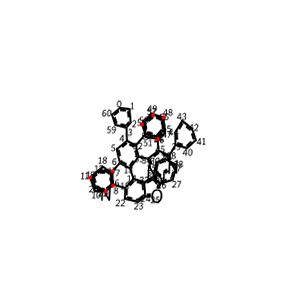 c1ccc(-c2cc(-c3ccccc3)c(-c3c(-c4ccccn4)ccc4oc5ccccc5c34)c(-c3nnnc(-c4ccccc4)c3-c3ccccc3)c2-c2ccccc2)cc1